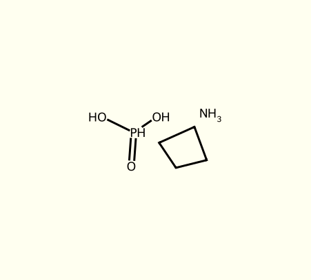 C1CCC1.N.O=[PH](O)O